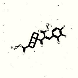 COC(=O)C(=Cc1ccc(F)c(F)c1Cl)C(=O)C12C3C4C1C1C2C3C41C(=O)OC